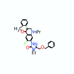 CCn1c(COCc2ccccc2)nn(-c2cc3c(cc2F)C(=O)[C@H](c2ccccc2C)CN3C(C)C)c1=O